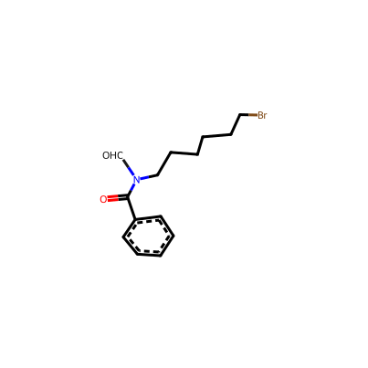 O=CN(CCCCCCBr)C(=O)c1ccccc1